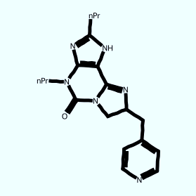 CCCc1nc2c([nH]1)C1=NC(Cc3ccncc3)CN1C(=O)N2CCC